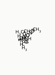 Cc1csc2c1C(NC1(C)CC1)=NC(N)(c1ccc(N3CCN(C)CC3)cc1OC(C)C)N2